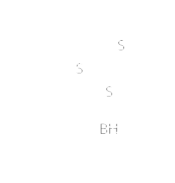 B1CCCSS1.CSC